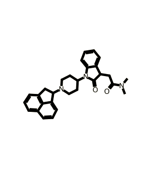 CN(C)C(=O)CC1C(=O)N(C2CCN(C3Cc4cccc5cccc3c45)CC2)c2ccccc21